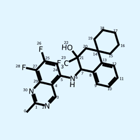 Cc1ncc2c(NC3c4ccccc4C4(CCCCC4)CC3(O)C(F)(F)F)cc(F)c(F)c2n1